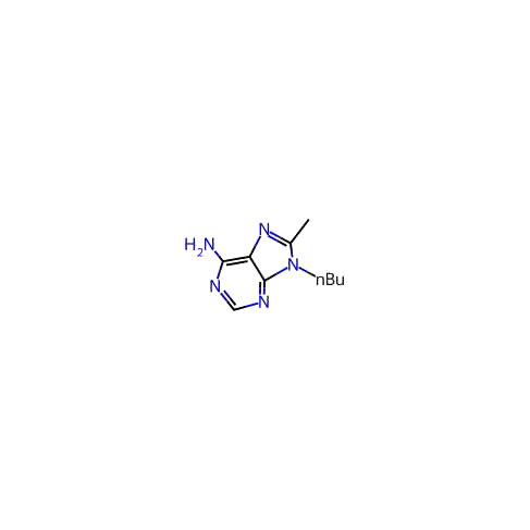 CCCCn1c(C)nc2c(N)ncnc21